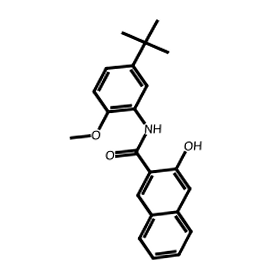 COc1ccc(C(C)(C)C)cc1NC(=O)c1cc2ccccc2cc1O